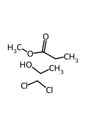 CCC(=O)OC.CCO.ClCCl